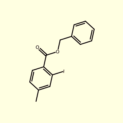 Cc1ccc(C(=O)OCc2ccccc2)c(I)c1